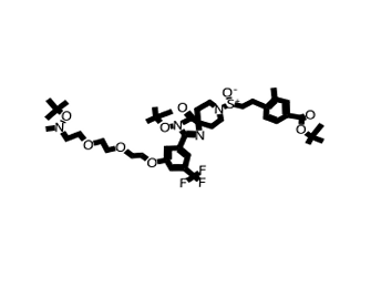 Cc1cc(C(=O)OC(C)(C)C)ccc1CC[S+]([O-])N1CCC2(CC1)N=C(c1cc(OCCOCCOCCN(C)OC(C)(C)C)cc(C(F)(F)F)c1)N(OC(C)(C)C)C2=O